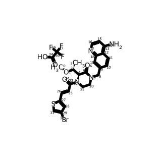 CO[C@H](C)[C@H]1C(=O)N(Cc2ccc3c(N)ccnc3c2)CCN1C(=O)C=Cc1cc(Br)cs1.O=C(O)C(F)(F)F